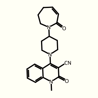 Cn1c(=O)c(C#N)c(N2CCC(N3CCCC=CC3=O)CC2)c2ccccc21